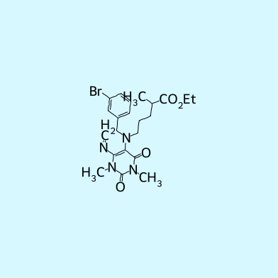 C=Nc1c(N(CCCC(C)C(=O)OCC)Cc2cccc(Br)c2)c(=O)n(C)c(=O)n1C